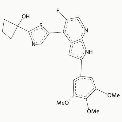 COc1cc(-c2cc3c(-c4cnc(C5(O)CCC5)s4)c(F)cnc3[nH]2)cc(OC)c1OC